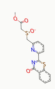 COC(=O)C[S+]([O-])Cc1cccc(-c2nc(=O)c3ccccc3s2)n1